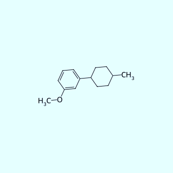 COc1cccc(C2CCC(C)CC2)c1